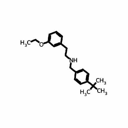 CCOc1cccc(CCNCc2ccc(C(C)(C)C)cc2)c1